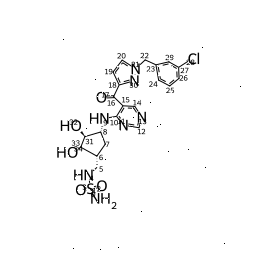 NS(=O)(=O)NC[C@H]1C[C@@H](Nc2ncncc2C(=O)c2ccn(Cc3cccc(Cl)c3)n2)[C@H](O)[C@@H]1O